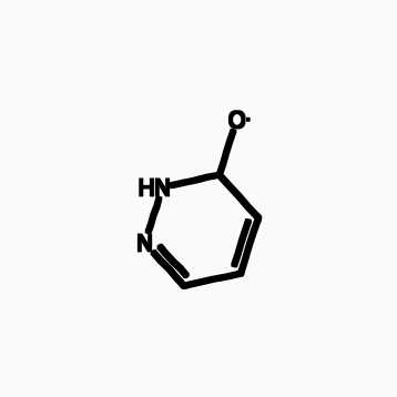 [O]C1C=CC=NN1